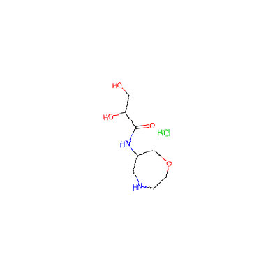 Cl.O=C(NC1CNCCOC1)C(O)CO